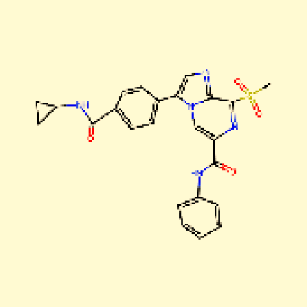 CS(=O)(=O)c1nc(C(=O)Nc2ccccc2)cn2c(-c3ccc(C(=O)NC4CC4)cc3)cnc12